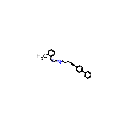 Cc1ccccc1/C=C\C=N\CCCC#Cc1ccc(-c2ccccc2)cc1